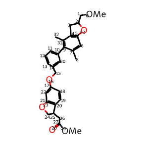 COCC1Cc2c(cc(C)c(-c3cccc(COc4ccc5c(c4)OCC5CC(=O)OC)c3)c2C)O1